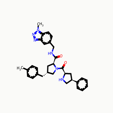 Cc1ccc(C[C@@H]2C[C@@H](C(=O)NCc3ccc4c(c3)nnn4C)N(C(=O)[C@H]3C[C@@H](c4ccccc4)CN3)C2)cc1